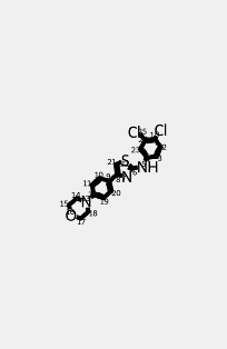 Clc1ccc(Nc2nc(-c3ccc(N4CCOCC4)cc3)cs2)cc1Cl